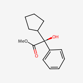 COC(=O)[C@@](O)(c1ccccc1)C1CCCC1